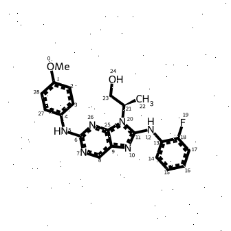 COc1ccc(Nc2ncc3nc(Nc4ccccc4F)n([C@H](C)CO)c3n2)cc1